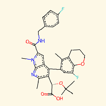 Cc1nc2c(cc(C(=O)NCc3ccc(F)cc3)n2C)c(-c2cc(F)c3c(c2C)CCCO3)c1[C@H](OC(C)(C)C)C(=O)O